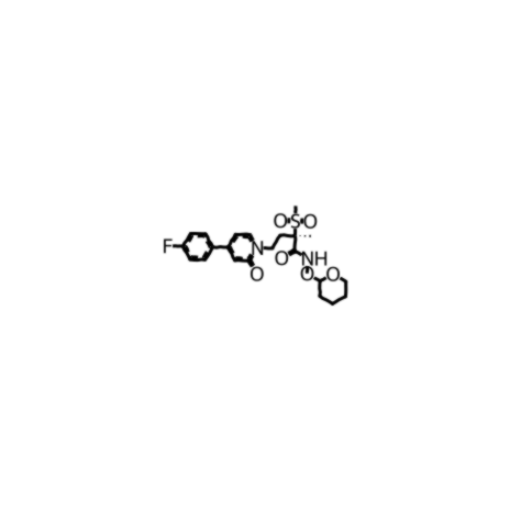 C[C@@](CCn1ccc(-c2ccc(F)cc2)cc1=O)(C(=O)NOC1CCCCO1)S(C)(=O)=O